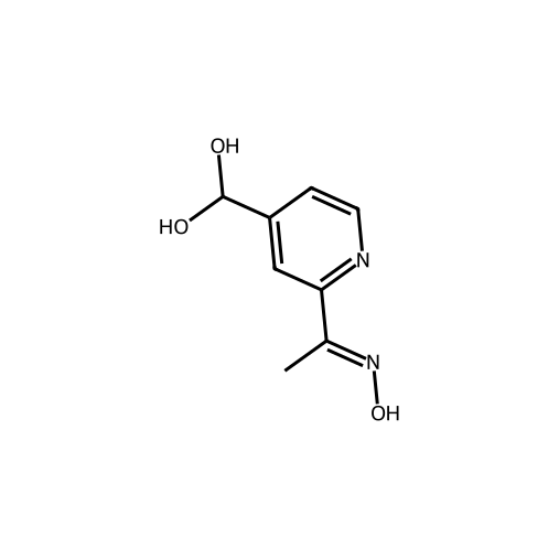 C/C(=N\O)c1cc(C(O)O)ccn1